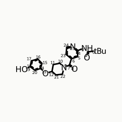 CC(C)(C)C(=O)Nc1cc(C(=O)N2CCC(Oc3cccc(O)c3)CC2)ccn1